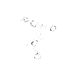 Cn1cc(-c2ccc(N(C(=O)NCc3ccccc3)[C@H]3CC[C@H](Nc4ncc(C#N)c(NCc5ncccn5)n4)CC3)nc2)cn1